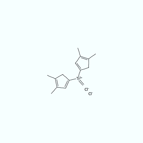 [CH2]=[Ti+2]([C]1=CC(C)=C(C)C1)[C]1=CC(C)=C(C)C1.[Cl-].[Cl-]